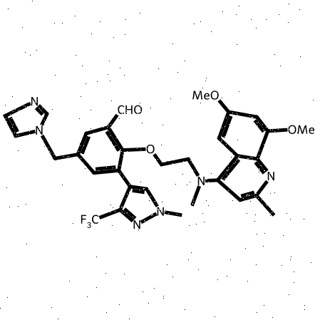 COc1cc(OC)c2nc(C)cc(N(C)CCOc3c(C=O)cc(Cn4ccnc4)cc3-c3cn(C)nc3C(F)(F)F)c2c1